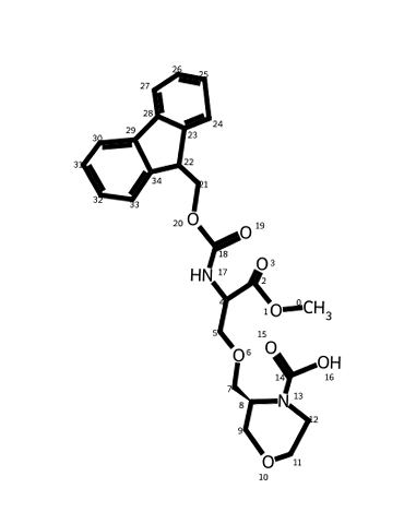 COC(=O)C(COC[C@@H]1COCCN1C(=O)O)NC(=O)OCC1c2ccccc2-c2ccccc21